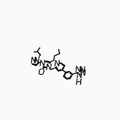 CCCCc1cn(-c2ccnn2CC(C)C)c(=O)n1Cc1cc(-c2cccc(-c3nnn[nH]3)c2)ccn1